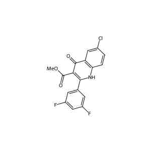 COC(=O)c1c(-c2cc(F)cc(F)c2)[nH]c2ccc(Cl)cc2c1=O